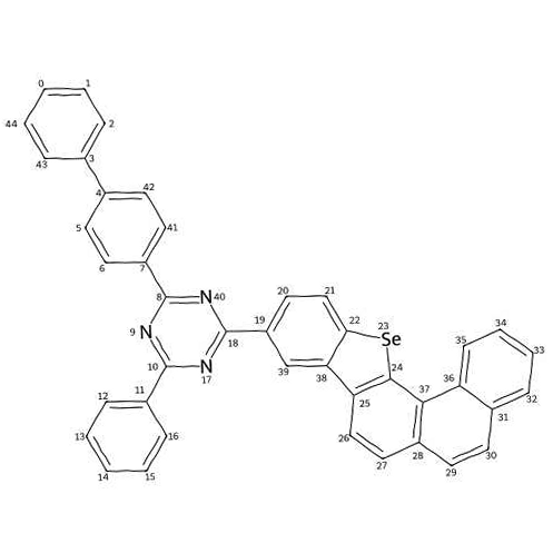 c1ccc(-c2ccc(-c3nc(-c4ccccc4)nc(-c4ccc5[se]c6c(ccc7ccc8ccccc8c76)c5c4)n3)cc2)cc1